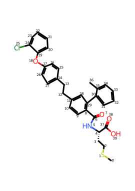 CSCC[C@H](NC(=O)c1ccc(CCc2ccc(Oc3ccccc3Cl)cc2)cc1-c1ccccc1C)C(=O)O